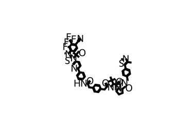 Cc1ncsc1-c1ccc(CNC(=O)C2CCCN2C(=O)C(NC(=O)Cc2ccc(CC(=O)Nc3ccc(-c4ccc(N(C(=S)N(C)c5ccc(C#N)c(C(F)(F)F)c5F)C(C)(C)C=O)cn4)cc3)cc2)C(C)(C)C)cc1